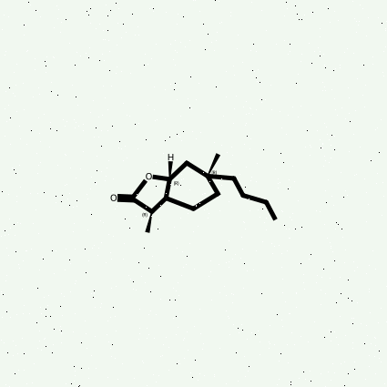 CCCC[C@]1(C)CCC2[C@@H](C1)OC(=O)[C@@H]2C